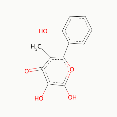 Cc1c(-c2ccccc2O)oc(O)c(O)c1=O